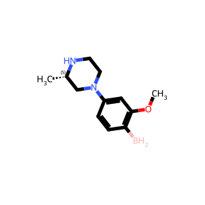 Bc1ccc(N2CCN[C@@H](C)C2)cc1OC